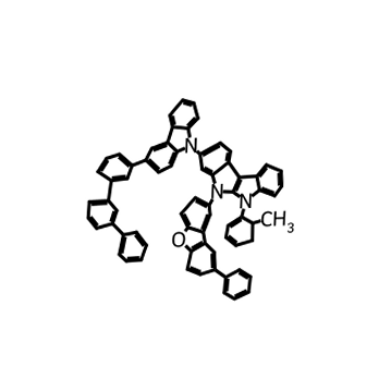 CC1CC=CC=C1n1c2ccccc2c2c3ccc(-n4c5ccccc5c5cc(-c6cccc(-c7cccc(-c8ccccc8)c7)c6)ccc54)cc3n(-c3ccc4oc5ccc(-c6ccccc6)cc5c4c3)c21